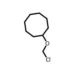 ClCOC1CCCCCCC1